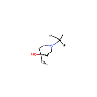 CCCC(C)(CC)N1CCC(O)(C(F)(F)F)CC1